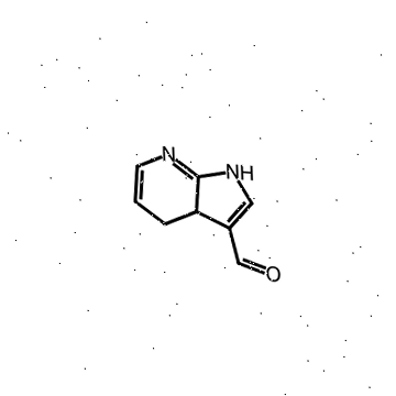 O=CC1=CNC2=NC=CCC12